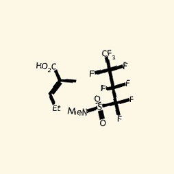 CCC=C(C)C(=O)O.CNS(=O)(=O)C(F)(F)C(F)(F)C(F)(F)C(F)(F)F